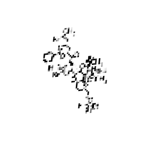 C=C(Br)C[C@@H](CCC(=O)/C=C/C(O[Si](C)(C)C(C)(C)C)[C@@H]1OC2CC[C@H](CCO[Si](CC)(CC)CC)O[C@@H]2[C@H](O[Si](C)(C)C(C)(C)C)[C@@H]1O[Si](C)(C)C(C)(C)C)OC(=O)c1ccccc1